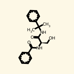 CC(C)(NC(=O)[C@@H](CO)NC(=O)c1ccccc1)c1ccccc1